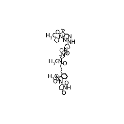 CC1CCCC1N1C(=O)C2(CC2)c2cnc(NC3CCN(S(=O)(=O)N4CC(N(C)C(=O)CCCc5cccc6c5n(C)c(=O)n6C5CCC(=O)NC5=O)C4)CC3)nc21